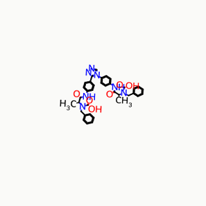 C[C@@H](C(=O)Nc1ccc(-c2nncn2-c2ccc(NC(=O)[C@H](C)N(Cc3ccccc3)C(=O)O)cc2)cc1)N(Cc1ccccc1)C(=O)O